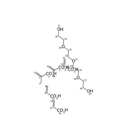 C=C(C)C(=O)O.C=C(C)C(=O)O.C=CC(=O)O.C=CC(=O)O.C=CC(=O)O.OCCOCCOCCOCCO